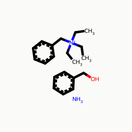 CC[N+](CC)(CC)Cc1ccccc1.N.OCc1ccccc1